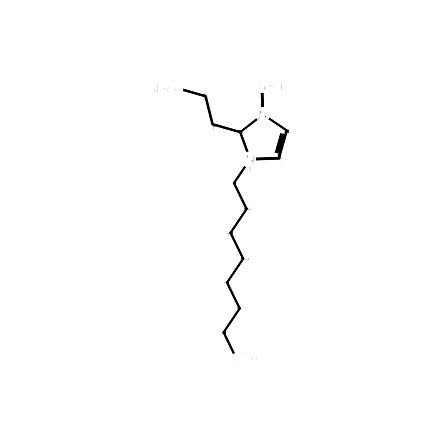 CCCCCCCCCCCCCCCCCN1C=CN(CCCC)C1CCCCCCCCCCCC